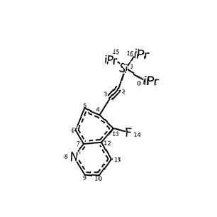 CC(C)[Si](C#Cc1ccc2ncccc2c1F)(C(C)C)C(C)C